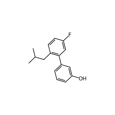 CC(C)Cc1ccc(F)cc1-c1cccc(O)c1